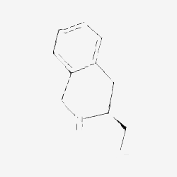 OC[C@@H]1Cc2ccccc2CN1